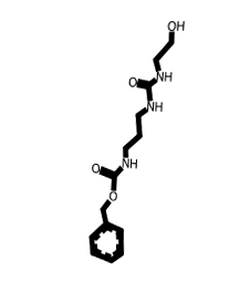 O=C(NCCO)NCCCNC(=O)OCc1ccccc1